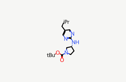 CC(C)Cc1cnc(N[C@@H]2CCN(C(=O)OC(C)(C)C)C2)nc1